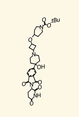 CC(C)(C)OC(=O)N1CCC(OC2CC(N3CCC(O)(c4ccc5c(c4)C(=O)N([C@@H]4CCC(=O)NC4=O)C5=O)CC3)C2)CC1